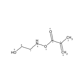 C=C(C)C(=O)ONCCO